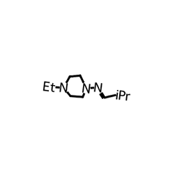 CCN1CCN(/N=C/C(C)C)CC1